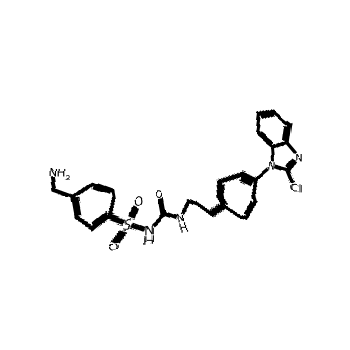 NCc1ccc(S(=O)(=O)NC(=O)NCCc2ccc(-n3c(Cl)nc4ccccc43)cc2)cc1